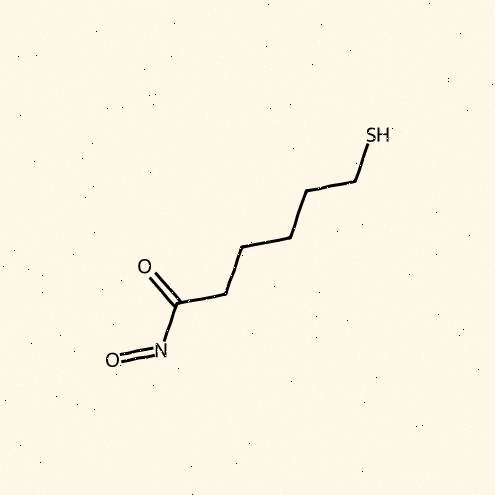 O=NC(=O)CCCCCS